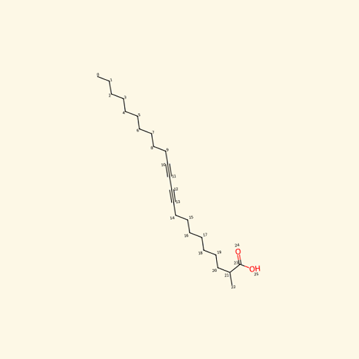 CCCCCCCCCCC#CC#CCCCCCCCC(C)C(=O)O